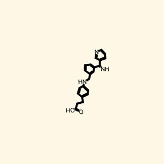 N=C(c1cccnc1)c1cccc(CNc2ccc(CCC(=O)O)cc2)c1